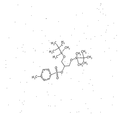 Cc1ccc(S(=O)(=O)OC(CO[Si](C)(C)C(C)(C)C)CO[Si](C)(C)C(C)(C)C)cc1